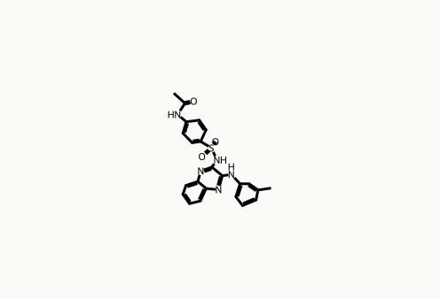 CC(=O)Nc1ccc(S(=O)(=O)Nc2nc3ccccc3nc2Nc2cccc(C)c2)cc1